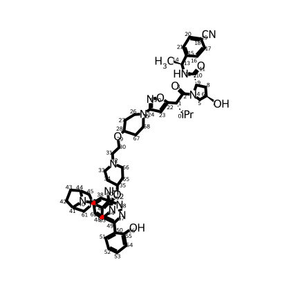 CC(C)[C@@H](C(=O)N1C[C@H](O)C[C@H]1C(=O)N[C@@H](C)c1ccc(C#N)cc1)c1cc(N2CCC(OCCN3CCC(Oc4cc(N5C6CCC5CN(c5cc(-c7ccccc7O)nnc5N)C6)ccn4)CC3)CC2)no1